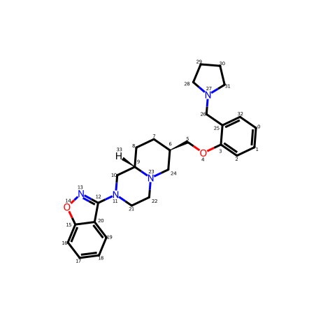 c1ccc(OC[C@@H]2CC[C@H]3CN(c4noc5ccccc45)CCN3C2)c(CN2CCCC2)c1